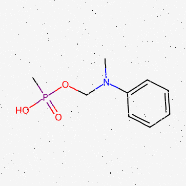 CN(COP(C)(=O)O)c1ccccc1